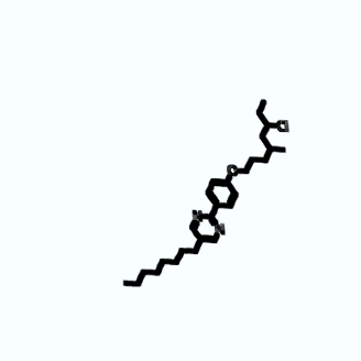 CCCCCCCCc1cnc(-c2ccc(OCCCC(C)CC(Cl)CC)cc2)nc1